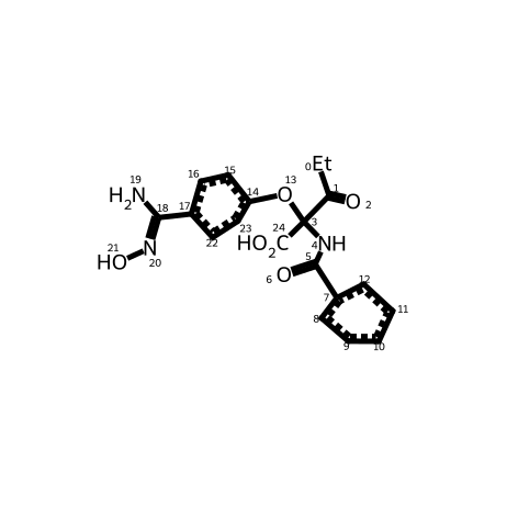 CCC(=O)C(NC(=O)c1ccccc1)(Oc1ccc(C(N)=NO)cc1)C(=O)O